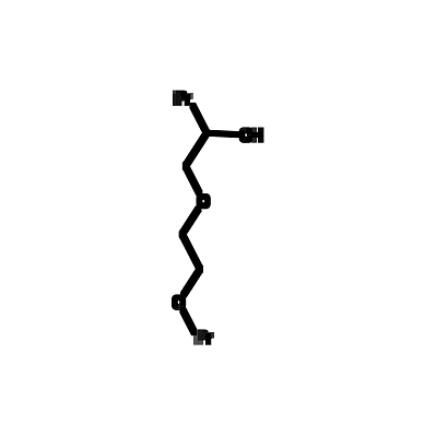 CC(C)OCCOCC(O)C(C)C